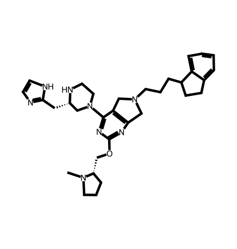 CN1CCC[C@H]1COc1nc2c(c(N3CCN[C@@H](Cc4ncc[nH]4)C3)n1)CN(CCCC1CCc3ccccc31)C2